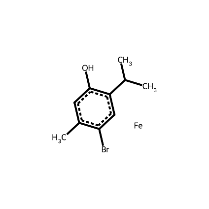 Cc1cc(O)c(C(C)C)cc1Br.[Fe]